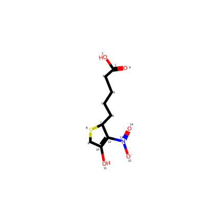 O=C(O)CCCCC1SCC(O)=C1[N+](=O)[O-]